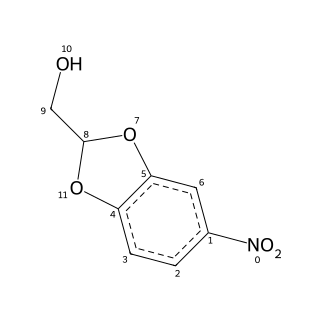 O=[N+]([O-])c1ccc2c(c1)OC(CO)O2